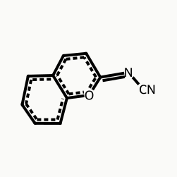 N#CN=c1ccc2ccccc2o1